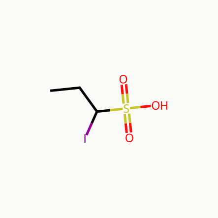 CCC(I)S(=O)(=O)O